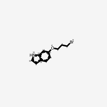 BrCCCOc1ccc2cc[nH]c2c1